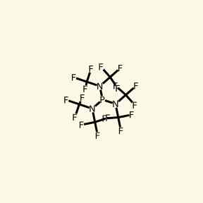 FC(F)(F)N(P(N(C(F)(F)F)C(F)(F)F)N(C(F)(F)F)C(F)(F)F)C(F)(F)F